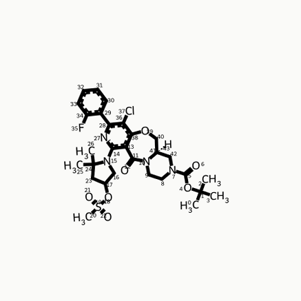 CC(C)(C)OC(=O)N1CCN2C(=O)c3c(N4CC(OS(C)(=O)=O)CC4(C)C)nc(-c4ccccc4F)c(Cl)c3OC[C@H]2C1